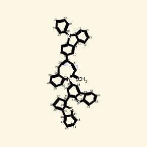 C=C1/C=C\C(c2ccc3c(c2)c2ccccc2n3-c2ccccc2)=C/Cc2ccccc2N1c1cc(-c2cccc3c2sc2ccccc23)c2sc3ccccc3c2c1